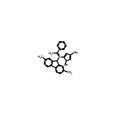 CCCC1C=C(C(C)(C)C)C=[C]1[Zr](=[C](C)c1ccccc1)[CH]1c2cc(C)ccc2-c2ccc(C)cc21